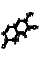 CC(C)n1cc2cnc(=O)[nH]c2nc1=O